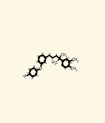 Cc1ccc(C(C)(C)CCCc2cccc(Oc3ccc(F)cc3)c2)cc1C